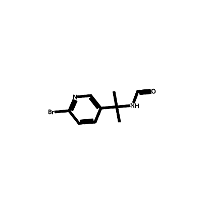 CC(C)(NC=O)c1ccc(Br)nc1